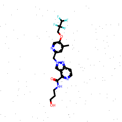 Cc1cc(Cn2cc3c(C(=O)NCCCO)nccc3n2)ncc1OCC(F)(F)C(F)F